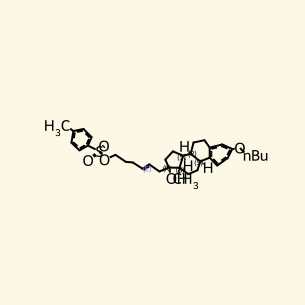 CCCCOc1ccc2c(c1)CC[C@@H]1[C@@H]2CC[C@@]2(C)[C@H]1CC[C@@]2(O)C/C=C/CCCOS(=O)(=O)c1ccc(C)cc1